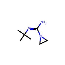 CC(C)(C)/N=C(/N)N1CC1